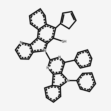 Sc1c(C2=CC=CC2)c2ccccc2c2c3ncccc3n(-c3nc(-c4ccccc4)c4c(n3)c3ccccc3n4-c3ccccc3)c12